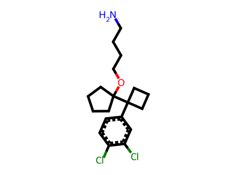 NCCCCOC1(C2(c3ccc(Cl)c(Cl)c3)CCC2)CCCC1